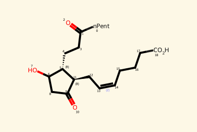 CCCCCC(=O)CC[C@H]1C(O)CC(=O)[C@@H]1C/C=C\CCCC(=O)O